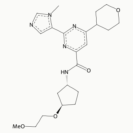 COCCO[C@@H]1CC[C@@H](NC(=O)c2cc(C3CCOCC3)nc(-c3cncn3C)n2)C1